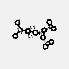 N#Cc1cc(-c2cc(-c3ccccc3)nc(-c3ccccc3)n2)cc(C#N)c1-c1ccc(-n2c3ccc(-n4c5ccccc5c5ccccc54)cc3c3cc(-n4c5ccccc5c5ccccc54)ccc32)cc1